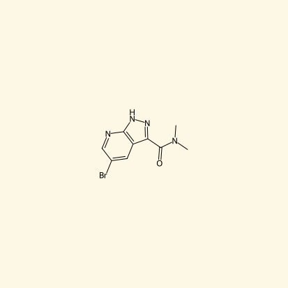 CN(C)C(=O)c1n[nH]c2ncc(Br)cc12